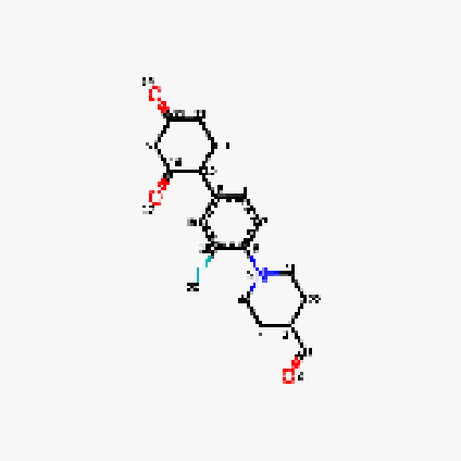 O=CC1CCN(c2ccc(C3CCC(=O)CC3=O)cc2F)CC1